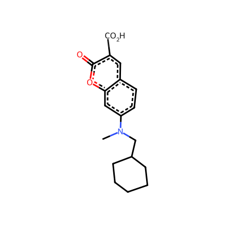 CN(CC1CCCCC1)c1ccc2cc(C(=O)O)c(=O)oc2c1